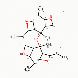 CCC1OCC1C(C)(OC(C)(C1COC1CC)C1COC1CC)C1COC1CC